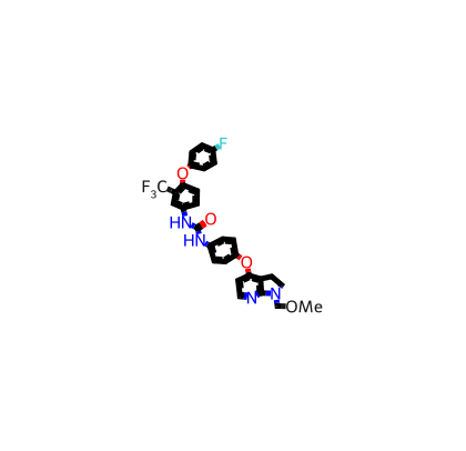 COCN1CCc2c(Oc3ccc(NC(=O)Nc4ccc(Oc5ccc(F)cc5)c(C(F)(F)F)c4)cc3)ccnc21